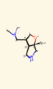 CN(C)CC1CO[C@@H]2CNCC12